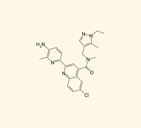 CCn1ncc(CN(C)C(=O)c2cc(-c3ccc(N)c(C)n3)nc3ccc(Cl)cc23)c1C